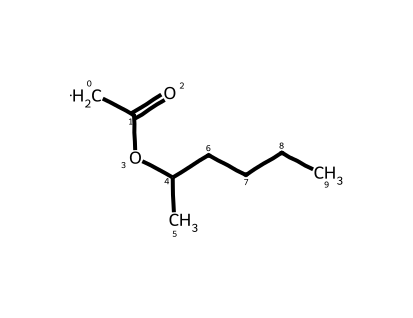 [CH2]C(=O)OC(C)CCCC